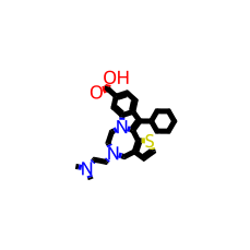 CN(C)CCN1CCn2c(c(C3CCCCC3)c3ccc(C(=O)O)cc32)-c2sccc2C1